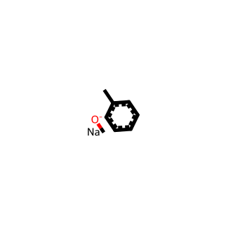 C[O-].Cc1ccccc1.[Na+]